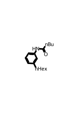 [CH2]CCCCCc1cccc(NC(=O)CCCC)c1